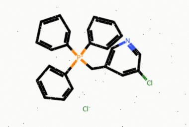 Clc1cncc(C[P+](c2ccccc2)(c2ccccc2)c2ccccc2)c1.[Cl-]